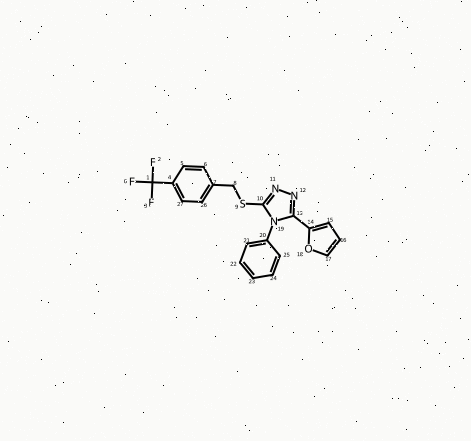 FC(F)(F)c1ccc(CSc2nnc(-c3ccco3)n2-c2ccccc2)cc1